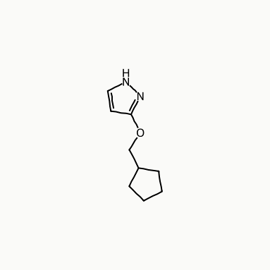 c1cc(OCC2CCCC2)n[nH]1